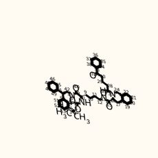 CC(C)(C)OC(=O)N[C@@H](CCCCNC(=O)[C@@H]1Cc2ccccc2CN1C(=O)CCCC(=O)c1ccccc1)C(=O)NCC(c1ccccc1)c1ccccc1